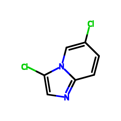 Clc1ccc2ncc(Cl)n2c1